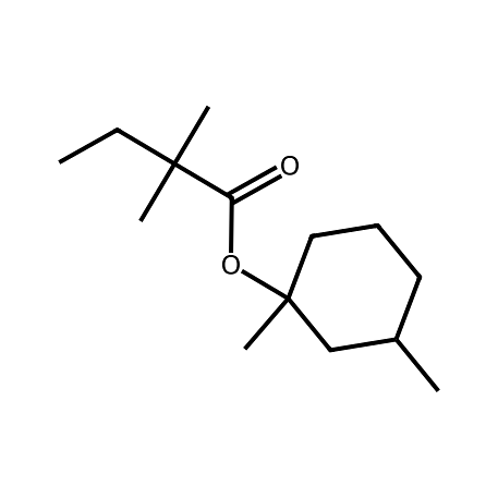 CCC(C)(C)C(=O)OC1(C)CCCC(C)C1